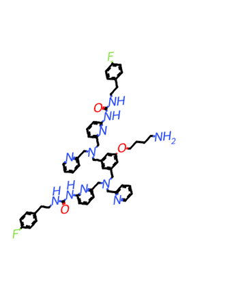 NCCCCOc1cc(CN(Cc2ccccn2)Cc2cccc(NC(=O)NCCc3ccc(F)cc3)n2)cc(CN(Cc2ccccn2)Cc2cccc(NC(=O)NCCc3ccc(F)cc3)n2)c1